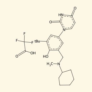 CN(Cc1cc(-n2ccc(=O)[nH]c2=O)cc(C(C)(C)C)c1O)C1CCCCC1.O=C(O)C(F)(F)F